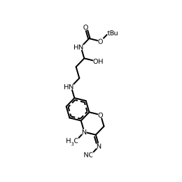 CN1C(=NC#N)COc2cc(NCCC(O)NC(=O)OC(C)(C)C)ccc21